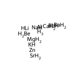 [AlH3].[BaH2].[BeH2].[CaH2].[KH].[LiH].[MgH2].[NaH].[RbH].[SrH2].[Zn]